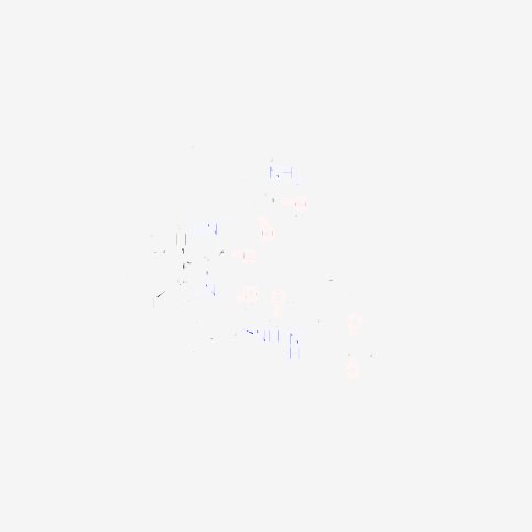 CC(C)(C)[C@H](NC(=O)NC1(CS(=O)(=O)C(C)(C)C)CCCCC1)C(=O)N1C[C@H]2[C@@H]([C@H]1C(=O)NC(CC1CCC1)C(=O)C(N)=O)C2(C)C